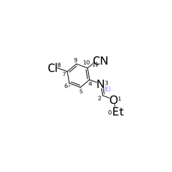 CCO/C=N/c1c[c]c(Cl)cc1C#N